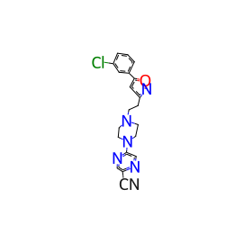 N#Cc1cnc(N2CCN(CCc3cc(-c4cccc(Cl)c4)on3)CC2)cn1